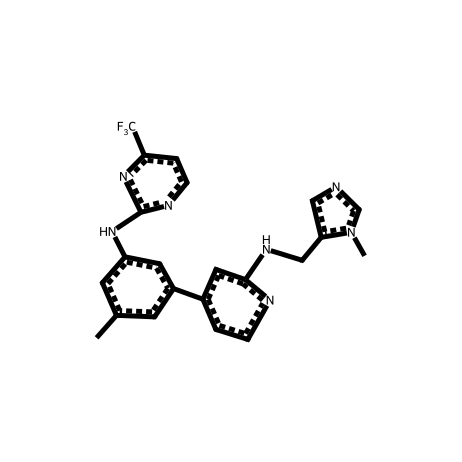 Cc1cc(Nc2nccc(C(F)(F)F)n2)cc(-c2ccnc(NCc3cncn3C)c2)c1